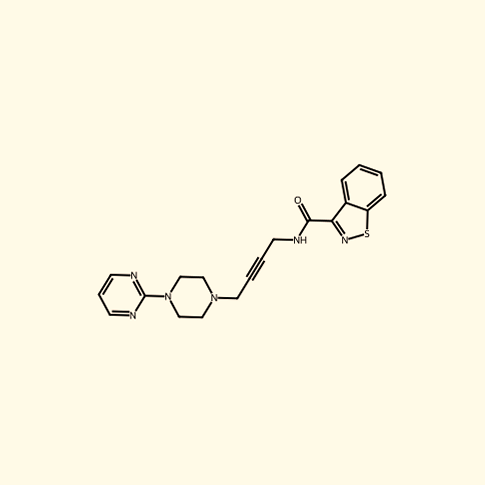 O=C(NCC#CCN1CCN(c2ncccn2)CC1)c1nsc2ccccc12